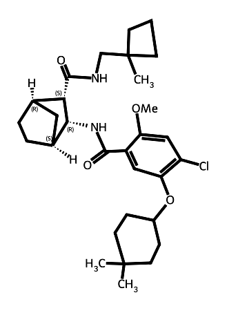 COc1cc(Cl)c(OC2CCC(C)(C)CC2)cc1C(=O)N[C@@H]1[C@H]2CC[C@H](C2)[C@@H]1C(=O)NCC1(C)CCC1